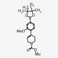 COc1cc(B2OC(C)(C)C(C)(C)O2)ccc1C1=CCN(C(=O)OC(C)(C)C)CC1